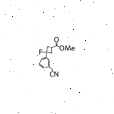 COC(=O)C1CC(F)(c2cccc(CC#N)c2)C1